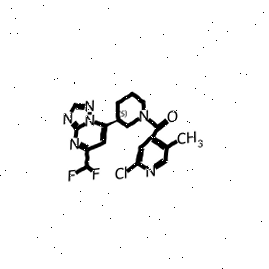 Cc1cnc(Cl)cc1C(=O)N1CCC[C@H](c2cc(C(F)F)nc3ncnn23)C1